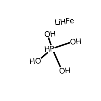 O[PH](O)(O)O.[Fe].[LiH]